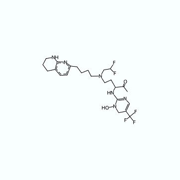 CC(=O)C(CCN(CCCCc1ccc2c(n1)NCCC2)CC(F)F)NC1=NC=C(C(F)(F)F)CN1O